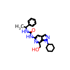 CC(NC(=O)Nc1cc2cnn(C3CCCCC3)c2c(CO)n1)c1ccccc1